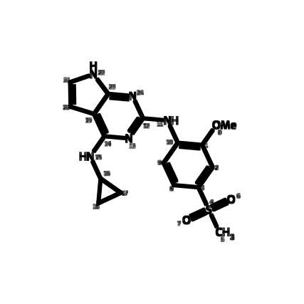 COc1cc(S(C)(=O)=O)ccc1Nc1nc(NC2CC2)c2cc[nH]c2n1